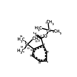 C[Si](C)(C)OC(=S)c1ccccc1[Si](C)(C)C